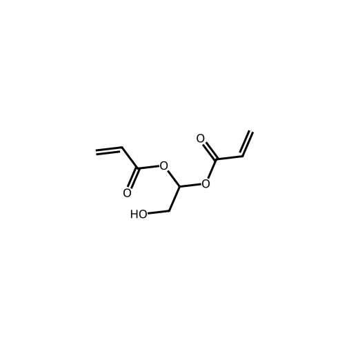 C=CC(=O)OC(CO)OC(=O)C=C